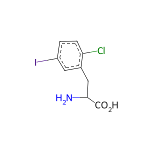 NC(Cc1cc(I)ccc1Cl)C(=O)O